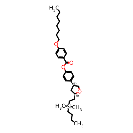 CCCCCCCCOc1ccc(C(=O)Oc2ccc([C@H]3CO[C@@H](CC[Si](C)(C)CCCC)C3)cc2)cc1